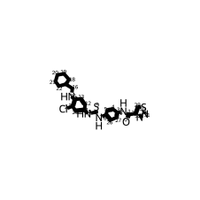 O=C(Nc1ccc(NC(=S)Nc2ccc(NCC3CCCCC3)c(Cl)c2)cc1)c1csnn1